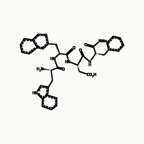 CNC(=O)[C@H](Cc1ccccc1)NC(=O)[C@H](CC(=O)O)NC(=O)[C@H](Cc1ccc2ccccc2c1)NC(=O)[C@@H](N)Cc1c[nH]c2ccccc12